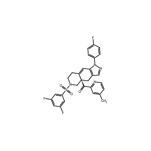 Cc1ccnc(C(=O)[C@]23Cc4cnn(-c5ccc(F)cc5)c4C=C2CCN(S(=O)(=O)c2cc(F)cc(F)c2)C3)c1